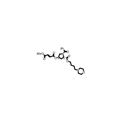 COC(=O)/C=C/C(=O)O[C@@H]1C[C@@H](C(=O)OCCCCN2CCOCC2)N(C(=O)C(C)C)C1